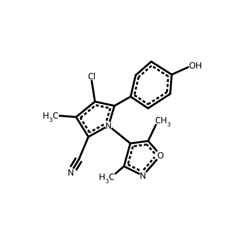 Cc1noc(C)c1-n1c(C#N)c(C)c(Cl)c1-c1ccc(O)cc1